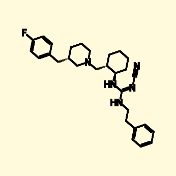 N#CN=C(NCCc1ccccc1)N[C@@H]1CCCC[C@H]1CN1CCC[C@@H](Cc2ccc(F)cc2)C1